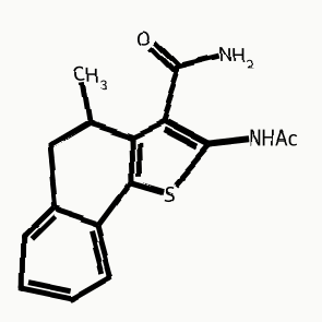 CC(=O)Nc1sc2c(c1C(N)=O)C(C)Cc1ccccc1-2